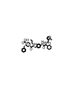 CCCN[C@H](Cc1ccc(NC(=O)[C@@H](NC(=O)c2ccnn2C)C2CCCCC2)cc1)C(=O)N1CCN(C(=O)O)[C@@H](Cc2ccccc2)C1